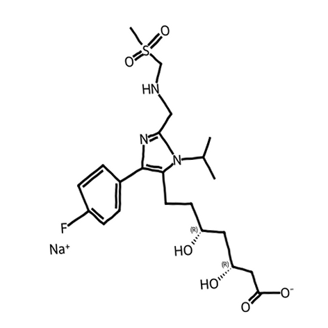 CC(C)n1c(CNCS(C)(=O)=O)nc(-c2ccc(F)cc2)c1CC[C@@H](O)C[C@@H](O)CC(=O)[O-].[Na+]